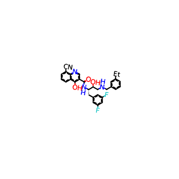 CCc1cccc(CNC[C@H](O)[C@H](Cc2cc(F)cc(F)c2)NC(=O)c2cnc3c(C#N)cccc3c2O)c1